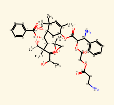 CC[C@H](O)[C@@](C)(C(=O)[C@@H](C)O)[C@H]([C@H](OC(=O)c1ccccc1)[C@]1(O)C[C@H](OC(=O)[C@H](OC(=O)COC(=O)CCN)[C@@H](N)c2ccccc2)C(C)=CC1(C)C)[C@]1(OC(C)=O)CO1